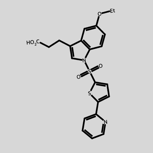 CCOc1ccc2c(c1)c(CCC(=O)O)cn2S(=O)(=O)c1ccc(-c2ccccn2)s1